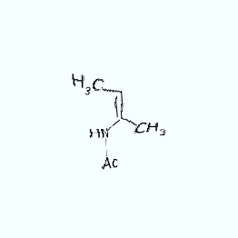 C/C=C(/C)NC(C)=O